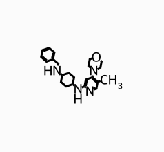 Cc1cnc(NC2CCC(NCc3ccccc3)CC2)cc1N1CCOCC1